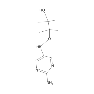 CC(C)(O)C(C)(C)OBc1cnc(N)nc1